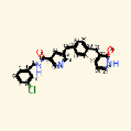 O=C(NCc1cccc(Cl)c1)c1cncc(Cc2ccc(Cc3ccc[nH]c3=O)cc2)c1